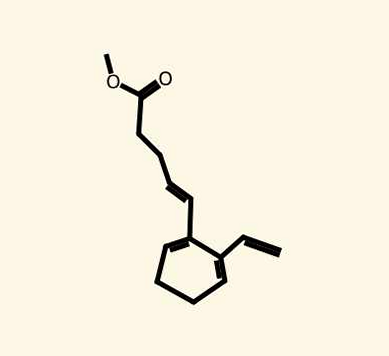 C=CC1=CCCC=C1/C=C/CCC(=O)OC